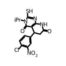 CC(C)n1c(S)nc2c(c1=O)C(c1ccc(Cl)c([N+](=O)[O-])c1)CC(=O)N2